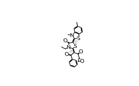 CCn1c(=O)/c(=C2/Sc3ccc(C)cc3N2C)s/c1=C(/C(=O)c1ccccc1)C(=O)C1CO1